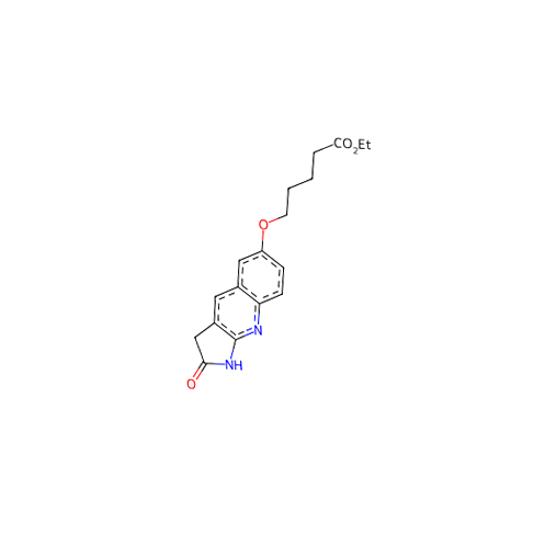 CCOC(=O)CCCCOc1ccc2nc3c(cc2c1)CC(=O)N3